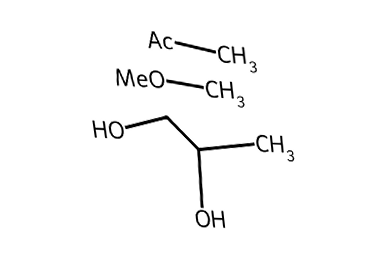 CC(C)=O.CC(O)CO.COC